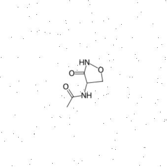 CC(=O)NC1CONC1=O